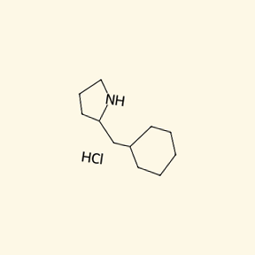 C1CCC(CC2CCCN2)CC1.Cl